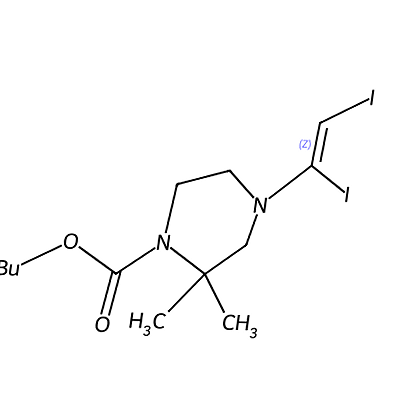 CC(C)(C)OC(=O)N1CCN(/C(I)=C/I)CC1(C)C